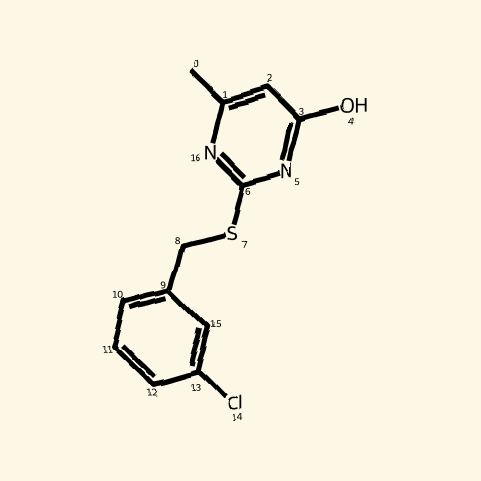 Cc1cc(O)nc(SCc2cccc(Cl)c2)n1